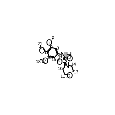 COc1cc(NS(=O)(=O)N2CCOCC2)cc(OC)c1OC